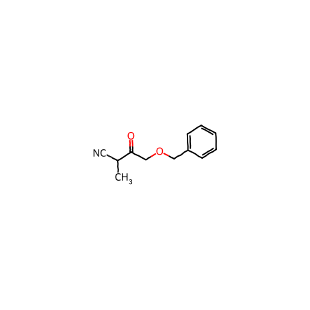 CC(C#N)C(=O)COCc1ccccc1